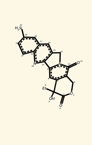 CCC1(O)C(=O)OCc2c1cc1n(c2=O)Cc2cc3cc([SiH3])ccc3nc2-1